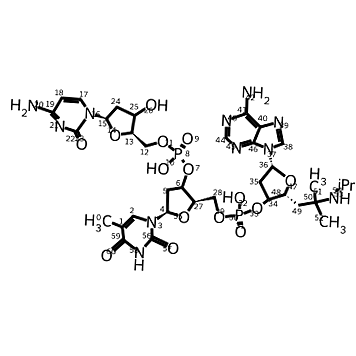 Cc1cn([C@H]2CC(OP(=O)(O)OC[C@H]3O[C@@H](n4ccc(N)nc4=O)CC3O)[C@@H](COP(=O)(O)OC3C[C@H](n4cnc5c(N)ncnc54)O[C@@H]3CC(C)(C)NC(C)C)O2)c(=O)[nH]c1=O